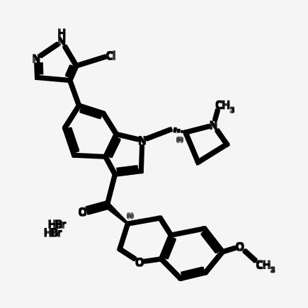 Br.Br.COc1ccc2c(c1)C[C@H](C(=O)c1cn(C[C@H]3CCN3C)c3cc(-c4cn[nH]c4Cl)ccc13)CO2